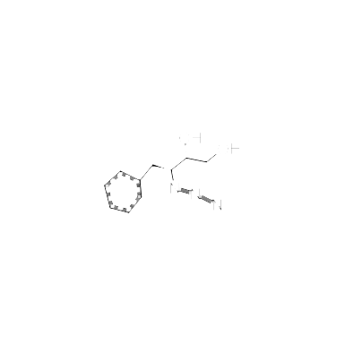 [N-]=[N+]=N[C@@H](Cc1ccccc1)[C@H](O)CO